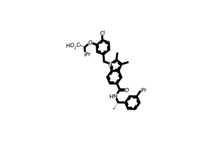 Cc1c(C)n(Cc2ccc(Cl)c(O[C@@H](C(=O)O)C(C)C)c2)c2ccc(C(=O)N[C@@H](C)c3cccc(C(C)C)c3)cc12